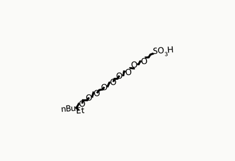 CCCCC(CC)COCCOCCOCCOCCOCCOCCOCCOCCOCCCCS(=O)(=O)O